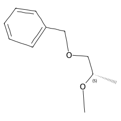 CO[C@@H](C)COCc1ccccc1